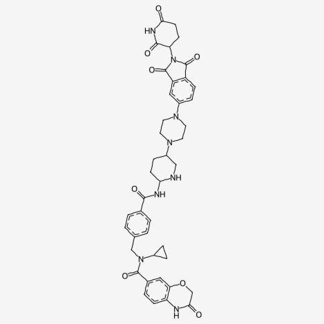 O=C1CCC(N2C(=O)c3ccc(N4CCN(C5CCC(NC(=O)c6ccc(CN(C(=O)c7ccc8c(c7)OCC(=O)N8)C7CC7)cc6)NC5)CC4)cc3C2=O)C(=O)N1